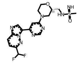 CS(=N)(=O)NC[C@@H]1CN(c2cc(-c3cnc4ccc(C(F)F)nn34)ncn2)CCO1